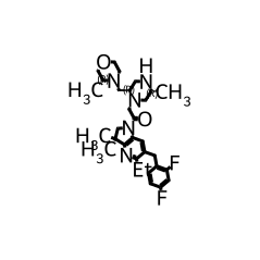 CCc1nc2c(cc1Cc1ccc(F)cc1F)N(C(=O)CN1C[C@@H](C)NC[C@@H]1CN1CCOC[C@H]1C)CC2(C)C